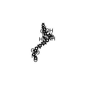 C=CC(=O)Nc1cc(Nc2nc(-c3ccnc(N4CCn5c(cc6c5CC(C)(C)C6)C4=O)c3CO)cnc2OC)ccc1N1CCN(C2CCN(c3ccc4c(c3)C(=O)N(c3ccnc(C5(C)CCOCC5)c3)C4=O)[C@H](C)C2)C[C@@H]1C